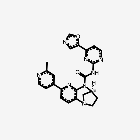 Cc1cc(-c2ccc3c(n2)N(C(=O)Nc2nccc(-c4cnco4)n2)[C@H]2CCN3C2)ccn1